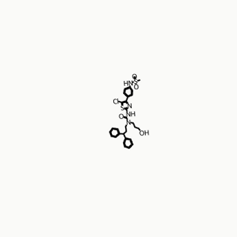 CS(=O)(=O)Nc1ccc(-c2nc(NC(=O)N(CCCO)CCC(c3ccccc3)c3ccccc3)sc2Cl)cc1